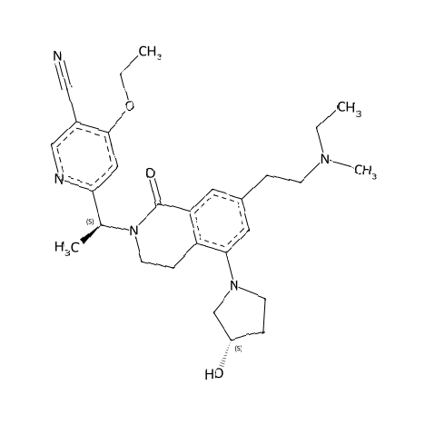 CCOc1cc([C@H](C)N2CCc3c(cc(CCN(C)CC)cc3N3CC[C@H](O)C3)C2=O)ncc1C#N